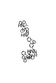 COC(=O)N[C@H](C(=O)N1CCC[C@H]1c1ncc(-c2ccc3c(c2)COc2cc(-c4cnc([C@@H]5[C@H]6CC[C@H](C6)N5C(=O)[C@H](NC(=O)OC)c5ccccc5)[nH]4)ccc2-3)[nH]1)C(C)C